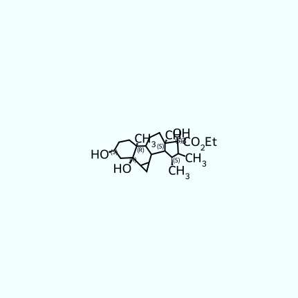 CCOC(=O)[C@]1(O)C(C)[C@@H](C)C2C3C4CC4[C@]4(O)C[C@@H](O)CC[C@]4(C)C3CC[C@@]21C